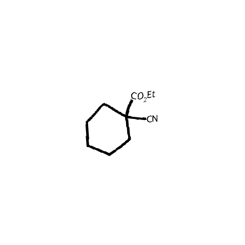 CCOC(=O)C1(C#N)CCCCC1